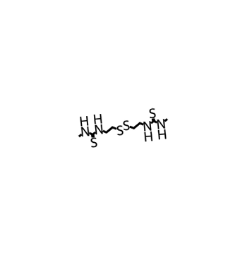 CNC(=S)NCCSSCCNC(=S)NC